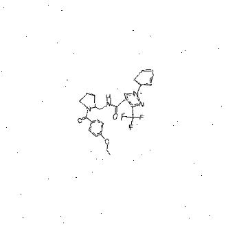 CCOc1ccc(C(=O)N2CCCC2CNC(=O)c2cn(C3C=CC=CC3)nc2C(F)(F)F)cc1